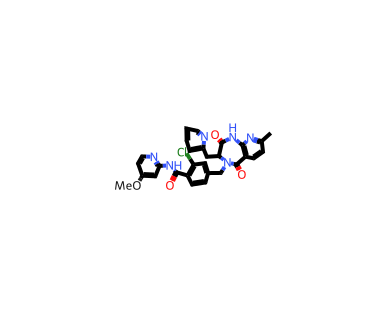 COc1ccnc(NC(=O)c2ccc(CN3C(=O)c4ccc(C)nc4NC(=O)C3Cc3ccccn3)cc2Cl)c1